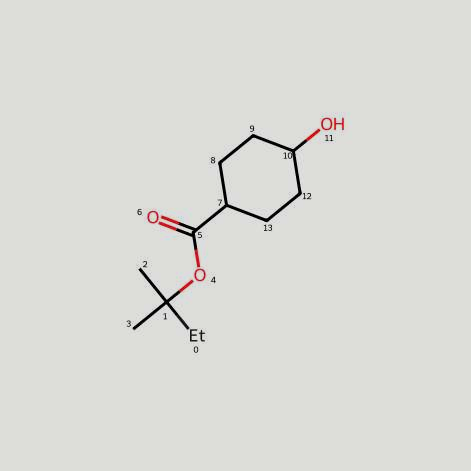 CCC(C)(C)OC(=O)C1CCC(O)CC1